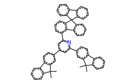 CC1(C)c2ccccc2-c2ccc(-c3cc(-c4ccc5c(c4)C(C)(C)c4ccccc4-5)nc(-c4cccc5c4-c4ccccc4C54c5ccccc5-c5ccccc54)c3)cc21